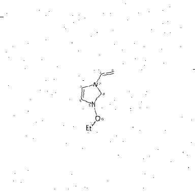 C=CN1C=CN(OCC)C1